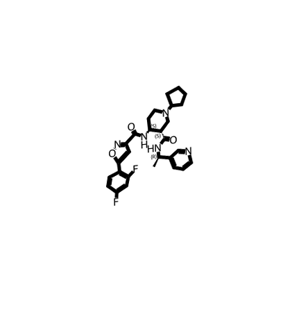 C[C@@H](NC(=O)[C@H]1CN(C2CCCC2)CC[C@@H]1NC(=O)c1cc(-c2ccc(F)cc2F)on1)c1cccnc1